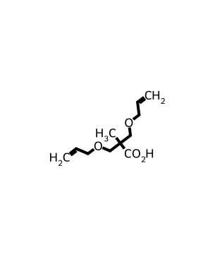 C=CCOCC(C)(COCC=C)C(=O)O